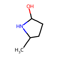 CC1CCC(O)N1